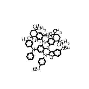 Cc1cc2c(cc1N1c3cc4c(cc3B3c5c1cc(N(c1ccccc1)c1ccccc1)cc5N(c1ccc(C(C)(C)C)cc1)c1oc5ccc(C(C)(C)C)cc5c13)C(C)(C)CCC4(C)C)C(C)(C)CCC2(C)C